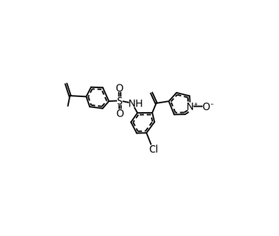 C=C(C)c1ccc(S(=O)(=O)Nc2ccc(Cl)cc2C(=C)c2cc[n+]([O-])cc2)cc1